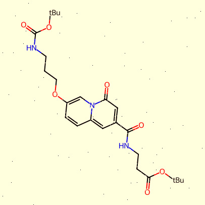 CC(C)(C)OC(=O)CCNC(=O)c1cc(=O)n2cc(OCCCNC(=O)OC(C)(C)C)ccc2c1